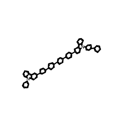 c1ccc(-c2ccc(-n3c4ccccc4c4cc(-c5ccc(-c6ccc(-c7ccc(-c8ccc(-c9ccc%10c(c9)c9ccccc9n%10-c9ccccc9)cc8)cc7)cc6)cc5)ccc43)cc2)cc1